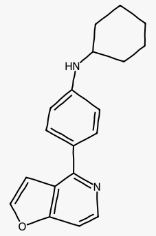 c1cc2occc2c(-c2ccc(NC3CCCCC3)cc2)n1